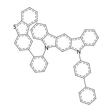 c1ccc(-c2ccc(-n3c4ccccc4c4cc5c6ccccc6n(-c6ccccc6-c6ccc7sc8ccccc8c7c6)c5cc43)cc2)cc1